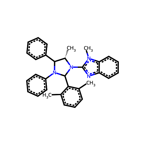 Cc1cccc(C)c1C1N(c2ccccc2)C(c2ccccc2)[C@H](C)N1c1nc2ccccc2n1C